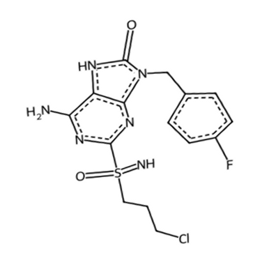 N=S(=O)(CCCCl)c1nc(N)c2[nH]c(=O)n(Cc3ccc(F)cc3)c2n1